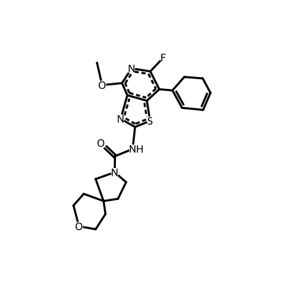 COc1nc(F)c(C2=CC=CCC2)c2sc(NC(=O)N3CCC4(CCOCC4)C3)nc12